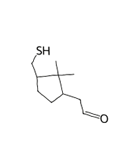 CC1(C)C(CS)CCC1CC=O